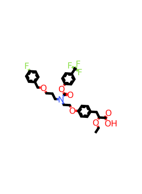 CCOC(Cc1ccc(OCCN(CCCOCc2ccc(F)cc2)C(=O)Oc2ccc(C(F)(F)F)cc2)cc1)C(=O)O